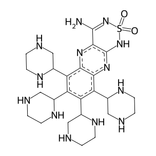 NC1=NS(=O)(=O)Nc2nc3c(C4CNCCN4)c(C4CNCCN4)c(C4CNCCN4)c(C4CNCCN4)c3nc21